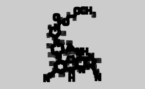 COCCOC(=O)N1CCC(N2CCN(c3cc(C#N)cc(Nc4nc(NC5CC5)c5ncc(C#N)n5n4)c3Cl)CC2)C1